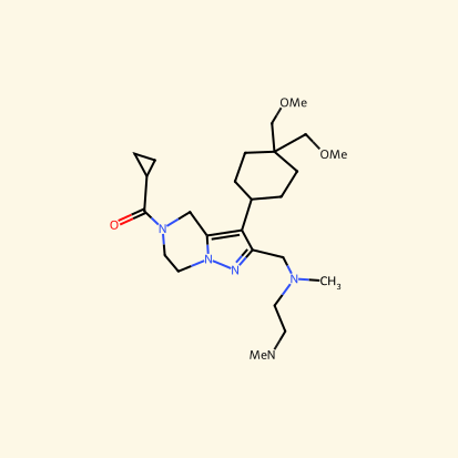 CNCCN(C)Cc1nn2c(c1C1CCC(COC)(COC)CC1)CN(C(=O)C1CC1)CC2